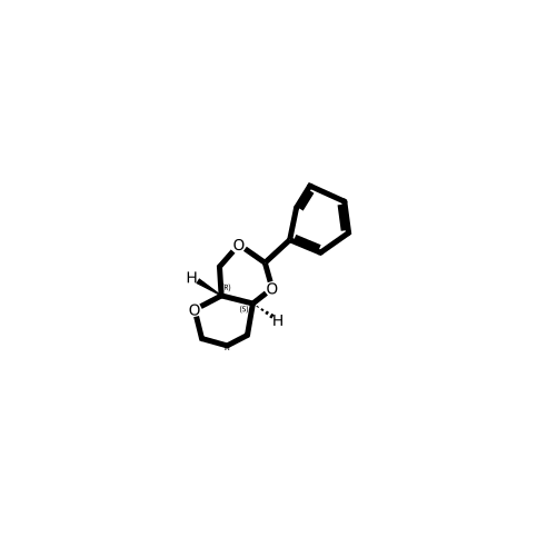 [C]1CO[C@@H]2COC(c3ccccc3)O[C@H]2C1